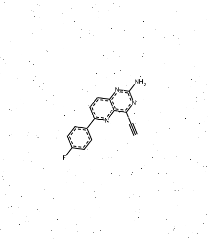 C#Cc1nc(N)nc2ccc(-c3ccc(F)cc3)nc12